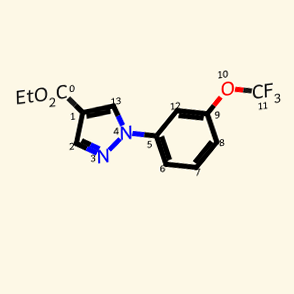 CCOC(=O)c1cnn(-c2cccc(OC(F)(F)F)c2)c1